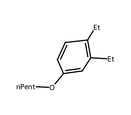 [CH2]CCCCOc1ccc(CC)c(CC)c1